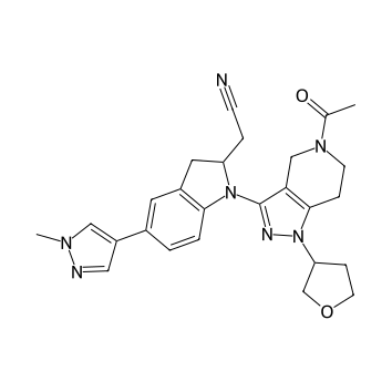 CC(=O)N1CCc2c(c(N3c4ccc(-c5cnn(C)c5)cc4CC3CC#N)nn2C2CCOC2)C1